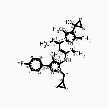 C=N/C(=C\C(=N/C)n1nc(C)c(C2(O)CC2)c1C)Nc1c(C)c(-c2ccc(F)cc2)nn1CC1CC1